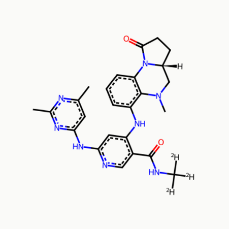 [2H]C([2H])([2H])NC(=O)c1cnc(Nc2cc(C)nc(C)n2)cc1Nc1cccc2c1N(C)C[C@H]1CCC(=O)N21